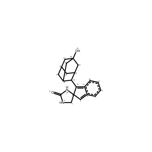 O=C1NCC2(C=c3ccccc3=C2C2C3CC4CC2CC(O)(C4)C3)N1